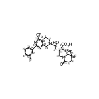 CC(C)(C)N(C(=O)O)[C@@H](CC(O)N1CCc2c(nc(-c3cccc(F)c3)nc2C(F)(F)F)C1)CN1CC(F)(F)CCC1=O